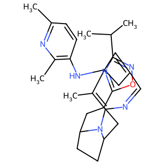 CC1=C(N2C3CCC2CC(c2nc(C(C)C)no2)C3)N=CC2=CC1(Nc1ccc(C)nc1C)C2